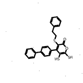 O=c1oc(S)c(S)c(-c2ccc(-c3ccccc3)cc2)c1SCCc1ccccc1